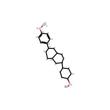 CCOC1CCC(C2CCC3CC(c4ccc(OC(F)(F)F)cc4)CCC3C2)CC1